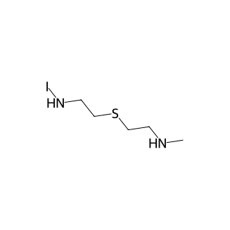 CNCCSCCNI